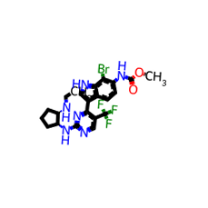 CCN[C@H]1CCC[C@@H]1Nc1ncc(C(F)(F)F)c(-c2c[nH]c3c(Br)c(NC(=O)OC)ccc23)n1